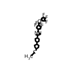 CCCCCC1CCC(C2CCC(c3cnc(-c4cc(F)c(C(F)(F)Oc5cc(F)c(F)c(F)c5)c(F)c4)nc3)CC2)CC1